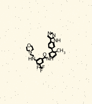 Cc1ccc(NC(=O)c2cc(NCCN3CCOCC3)cc(C(F)(F)F)c2)cc1-c1ccc2c(c1)[nH]c1ncncc12